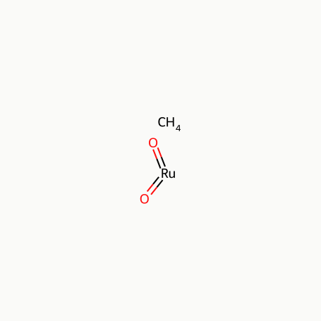 C.[O]=[Ru]=[O]